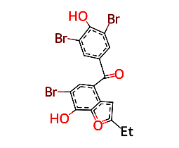 CCc1cc2c(C(=O)c3cc(Br)c(O)c(Br)c3)cc(Br)c(O)c2o1